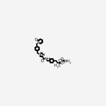 CC(C)(CCc1ccc(CNC(=O)c2cn(Cc3ccc(Cn4ccccc4=O)cc3)nn2)cc1)OC(N)=O